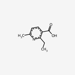 CCc1nc(C)ccc1C(=O)O